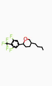 CCCCC1CCC(c2cc(F)c(C(F)(F)F)c(F)c2)OC1